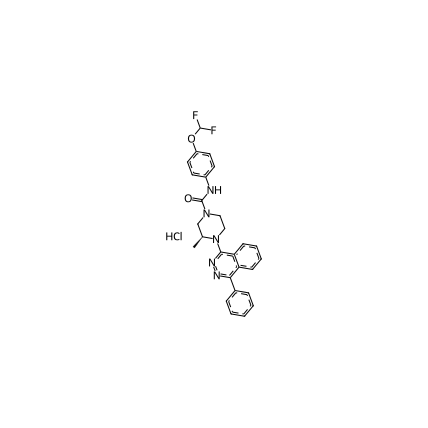 C[C@H]1CN(C(=O)Nc2ccc(OC(F)F)cc2)CCN1c1nnc(-c2ccccc2)c2ccccc12.Cl